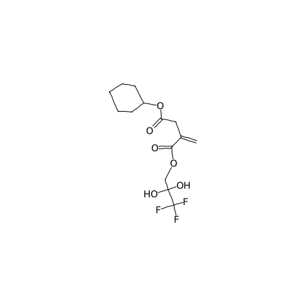 C=C(CC(=O)OC1CCCCC1)C(=O)OCC(O)(O)C(F)(F)F